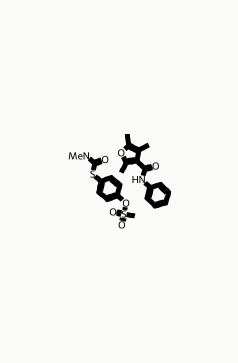 CNC(=O)Sc1ccc(OS(C)(=O)=O)cc1.Cc1oc(C)c(C(=O)Nc2ccccc2)c1C